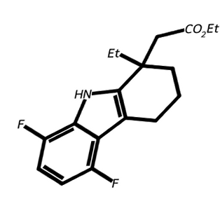 CCOC(=O)CC1(CC)CCCc2c1[nH]c1c(F)ccc(F)c21